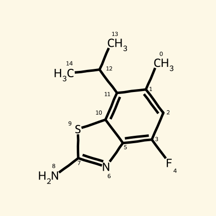 Cc1cc(F)c2nc(N)sc2c1C(C)C